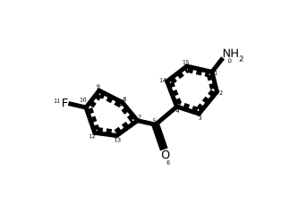 Nc1ccc(C(=O)c2ccc(F)cc2)cc1